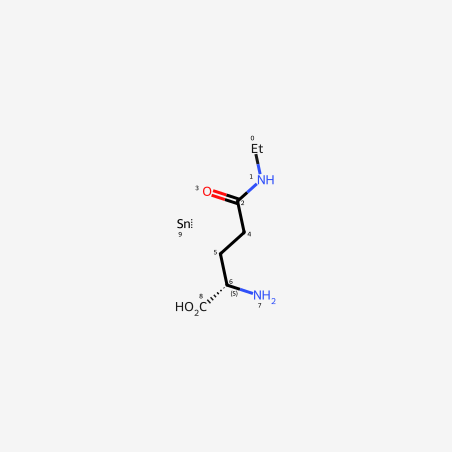 CCNC(=O)CC[C@H](N)C(=O)O.[Sn]